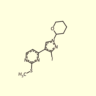 CSc1nccc(-c2cn(C3CCCCO3)nc2I)n1